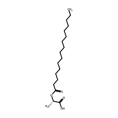 CCCCCCCCCCCCCCCC(=O)O[C@@H](C)C(=O)O